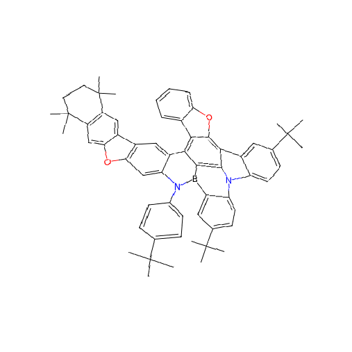 CC(C)(C)c1ccc(N2B3c4cc(C(C)(C)C)ccc4-n4c5ccc(C(C)(C)C)cc5c5c6oc7ccccc7c6c(c3c54)-c3cc4c(cc32)oc2cc3c(cc24)C(C)(C)CCC3(C)C)cc1